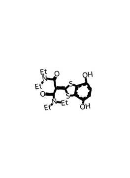 CCN(CC)C(=O)C(C(=O)N(CC)CC)=C1Sc2c(O)ccc(O)c2S1